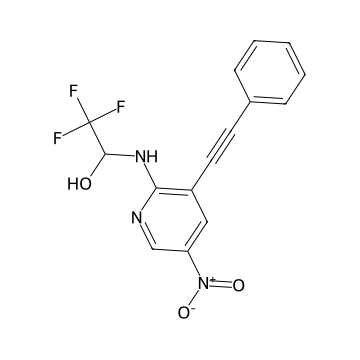 O=[N+]([O-])c1cnc(NC(O)C(F)(F)F)c(C#Cc2ccccc2)c1